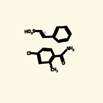 Cc1cc(Cl)ccc1C(N)=O.O=S(=O)(O)/C=C/c1ccccc1